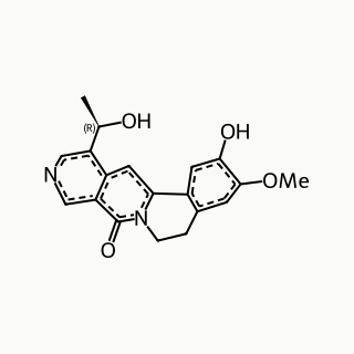 COc1cc2c(cc1O)-c1cc3c([C@@H](C)O)cncc3c(=O)n1CC2